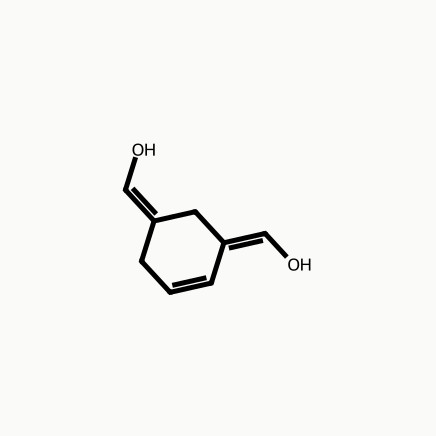 OC=C1C=CCC(=CO)C1